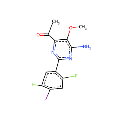 COc1c(N)nc(-c2cc(F)c(I)cc2F)nc1C(C)=O